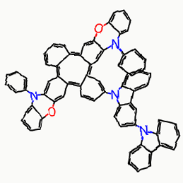 c1ccc(-n2c3ccccc3oc3cc4c5ccc(-n6c7ccccc7c7cc(-n8c9ccccc9c9ccccc98)ccc76)cc5c5cc6c(cc5c5ccccc5c4cc32)oc2ccccc2n6-c2ccccc2)cc1